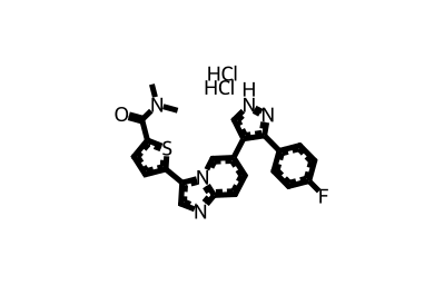 CN(C)C(=O)c1ccc(-c2cnc3ccc(-c4c[nH]nc4-c4ccc(F)cc4)cn23)s1.Cl.Cl